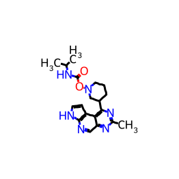 Cc1nc(C2CCCN(OC(=O)NC(C)C)C2)c2c(cnc3[nH]ccc32)n1